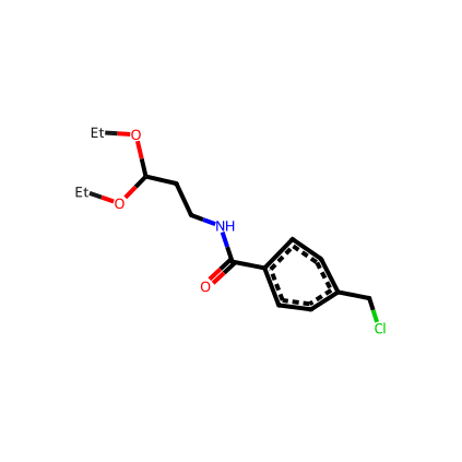 CCOC(CCNC(=O)c1ccc(CCl)cc1)OCC